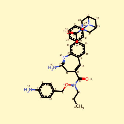 CCCN(OCc1ccc(N)cc1)C(=O)C1=Cc2ccc(C(=O)N3CC4CC(C3)N4c3ccccc3)cc2N=C(N)C1